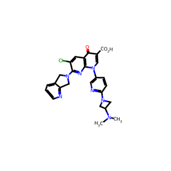 CN(C)C1CN(c2ccc(-n3cc(C(=O)O)c(=O)c4cc(Cl)c(N5Cc6cccnc6C5)nc43)cn2)C1